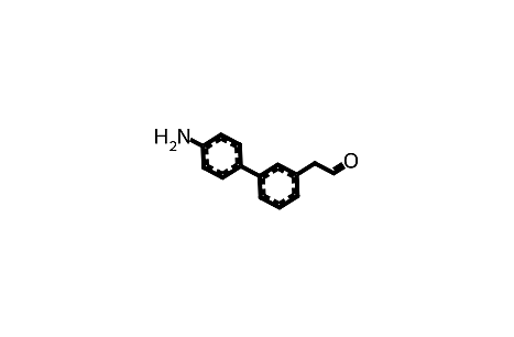 Nc1ccc(-c2cccc(CC=O)c2)cc1